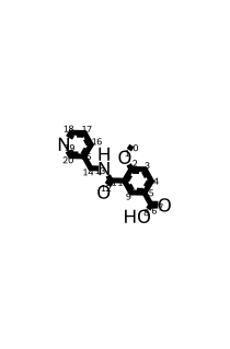 COc1ccc(C(=O)O)cc1C(=O)NCc1cccnc1